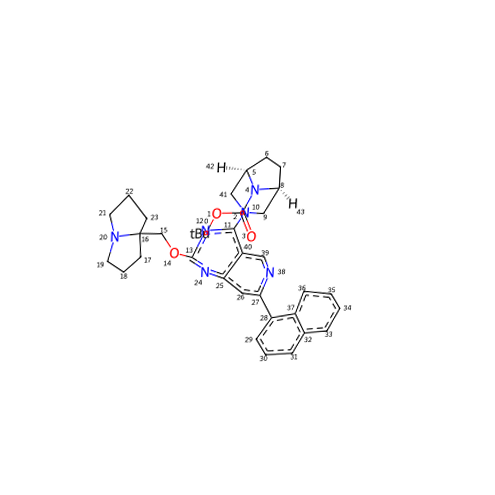 CC(C)(C)OC(=O)N1[C@@H]2CC[C@H]1CN(c1nc(OCC34CCCN3CCC4)nc3cc(-c4cccc5ccccc45)ncc13)C2